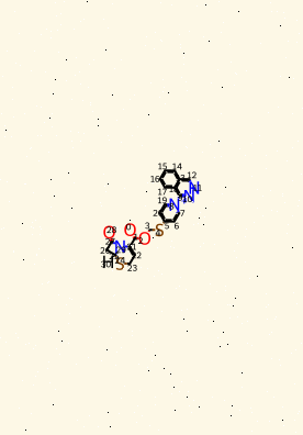 O=C(OCSc1cc[n+](-c2nncc3ccccc23)cc1)C1=CCS[C@H]2CC(=O)N12